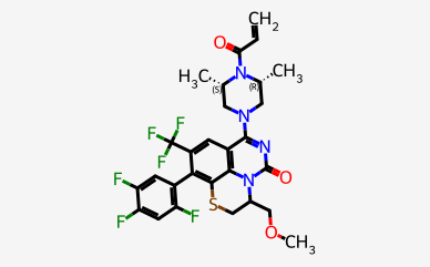 C=CC(=O)N1[C@H](C)CN(c2nc(=O)n3c4c(c(-c5cc(F)c(F)cc5F)c(C(F)(F)F)cc24)SCC3COC)C[C@@H]1C